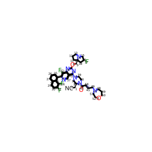 N#CC[C@H]1CN(c2nc(OC[C@@]34CCCN3C[C@H](F)C4)nc3c(F)c(-c4cccc5ccc(F)c(F)c45)ncc23)CCN1C(=O)/C=C/CN1CCCOCC1